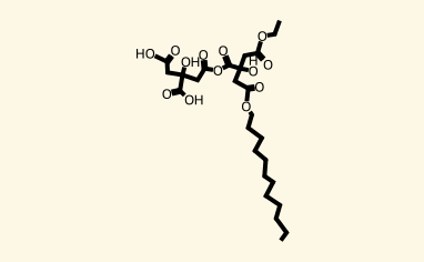 CCCCCCCCCCCCOC(=O)CC(O)(CC(=O)OCC)C(=O)OC(=O)CC(O)(CC(=O)O)C(=O)O